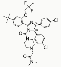 CN(C)C(=O)CN1CCN(C(=O)N2C(c3ccc(C(C)(C)C)cc3OCC(F)(F)F)=N[C@@H](c3ccc(Cl)cc3)[C@H]2c2ccc(Cl)cc2)CC1